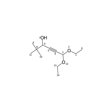 CCOC(C#CC(O)C(C)(C)C)OCC